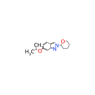 CC(C)Oc1ccc2cn(C3CCCCO3)nc2c1